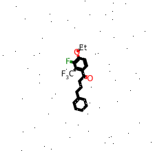 CCOc1ccc(C(=O)CCCC2=CCCCC2)c(C(F)(F)F)c1F